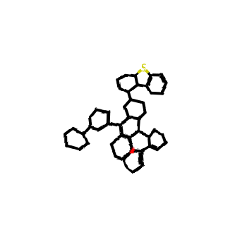 C1=CC2=C(CC1)C1C(CCCC1C1CCC3C(C1)C(C1CCCC(C4CCCCC4)C1)C1CCCCC1C3C1CCCC=C1C1=CCCCC1)S2